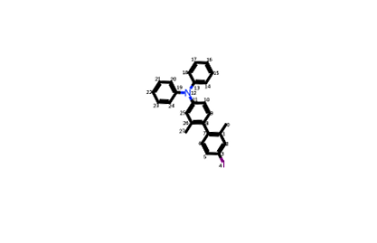 Cc1cc(I)ccc1-c1ccc(N(c2ccccc2)c2ccccc2)cc1C